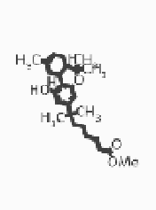 COC(=O)CCCCCC(C)(C)c1cc(O)c2c(c1)OC(C)(C)[C@@H]1CC=C(C)C[C@@H]21